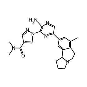 Cc1cc(-c2cnc(N)c(-n3cc(C(=O)N(C)C)cn3)n2)cc2c1CCN1CCCC21